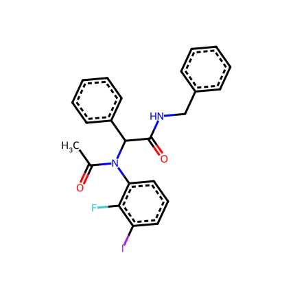 CC(=O)N(c1cccc(I)c1F)C(C(=O)NCc1ccccc1)c1ccccc1